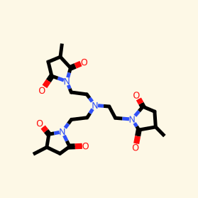 CC1CC(=O)N(CCN(CCN2C(=O)CC(C)C2=O)CCN2C(=O)CC(C)C2=O)C1=O